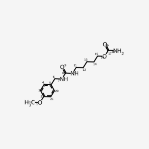 COc1ccc(CNC(=O)NCCCCCOC(N)=O)cc1